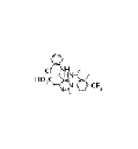 Cc1nc(CC(=O)O)c(CNc2ccccc2Cl)c(NC(C)c2cccc(C(F)(F)F)c2C)n1